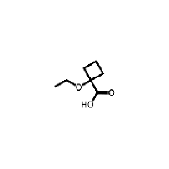 CCOC1(C(=O)O)CCC1